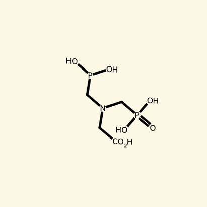 O=C(O)CN(CP(O)O)CP(=O)(O)O